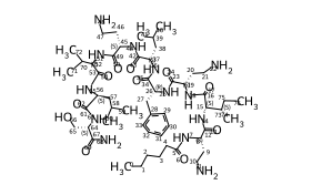 CCCCCC(=O)N[C@@H](CCN)C(=O)N[C@H](C(=O)N[C@@H](CCN)C(=O)N[C@H](Cc1ccccc1)C(=O)N[C@@H](CC(C)C)C(=O)N[C@@H](CCN)C(=O)N[C@@H](C(=O)N[C@@H](CC(C)C)C(=O)N[C@@H](CO)C(N)=O)C(C)C)[C@@H](C)CC